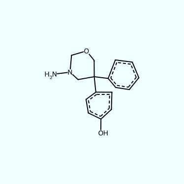 NN1COCC(c2ccccc2)(c2ccc(O)cc2)C1